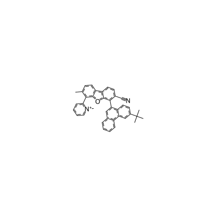 Cc1ccc2c(oc3c(-c4cc5ccccc5c5cc(C(C)(C)C)ccc45)c(C#N)ccc32)c1-c1cccc[n+]1C